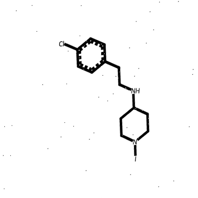 Clc1ccc(CCNC2CCN(I)CC2)cc1